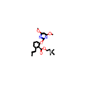 CC=Cc1cccc(Oc2nc(OC)cc(OC)n2)c1C(=O)OCC[Si](C)(C)C